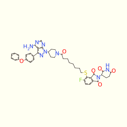 Nc1ncnc2c1c(-c1ccc(Oc3ccccc3)cc1)nn2C1CCN(C(=O)CCCCCCCSc2c(F)ccc3c2C(=O)N(C2CCC(=O)NC2=O)C3=O)CC1